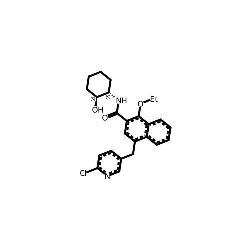 CCOc1c(C(=O)N[C@H]2CCCC[C@@H]2O)cc(Cc2ccc(Cl)nc2)c2ccccc12